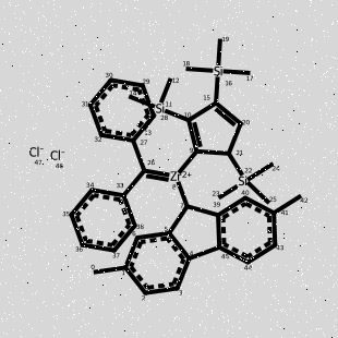 Cc1ccc2c(c1)[CH]([Zr+2]([C]1=C([Si](C)(C)C)C([Si](C)(C)C)=CC1[Si](C)(C)C)=[C](c1ccccc1)c1ccccc1)c1cc(C)ccc1-2.[Cl-].[Cl-]